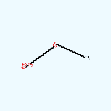 CCCCCCCCCCCCCCCCCCCCCC(=O)OC(=O)CCCCCCCCCCCCCCCCCCC(=O)OCC(O)CO